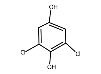 Oc1cc(Cl)c(O)c(Cl)c1